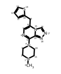 CN1CCN(c2ncc(Cc3cccs3)n3cnnc23)CC1